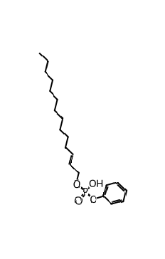 CCCCCCCCCCCC=CCOP(=O)(O)Oc1ccccc1